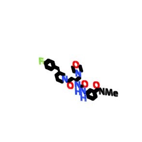 CNC(=O)c1cccc(NC(=O)N[C@@H](CC(=O)N2CCC[C@@H](Cc3ccc(F)cc3)C2)CN2CCOCC2)c1